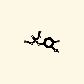 Cc1cc(OP(=O)(OC(C)C)OC(C)C)ccc1F